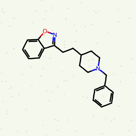 c1ccc(CN2CCC(CCc3noc4ccccc34)CC2)cc1